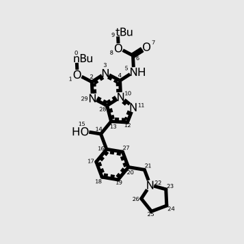 CCCCOc1nc(NC(=O)OC(C)(C)C)n2ncc(C(O)c3cccc(CN4CCCC4)c3)c2n1